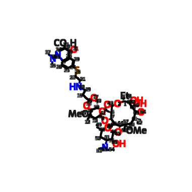 CC[C@H]1OC(=O)[C@H](C)[C@@H](O[C@H]2C[C@@](C)(OC)[C@@H](OC(=O)CCNCCSc3ccc4c(c3)c(=O)c(C(=O)O)cn4N(C)C)[C@H](C)O2)[C@H](C)[C@@H](O[C@@H]2O[C@H](C)C[C@H](N(C)C)[C@H]2O)[C@](C)(OC)C[C@@H](C)C(=O)[C@@H](O)[C@]1(C)O